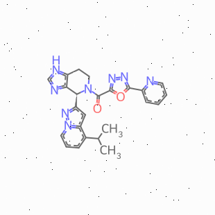 CC(C)c1cccn2nc([C@H]3c4nc[nH]c4CCN3C(=O)c3nnc(-c4ccccn4)o3)cc12